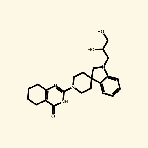 O=c1[nH]c(N2CCC3(CC2)CN(CC(O)CO)c2ccccc23)nc2c1CCCC2